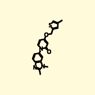 Cc1csc(COc2ccn(-c3ccc4nc(C)n(C)c4c3)c(=O)c2)c1